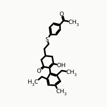 CCc1cc(C)cc(CC)c1C1=C(O)CC(CCSc2ccc(C(C)=O)cc2)CC1=O